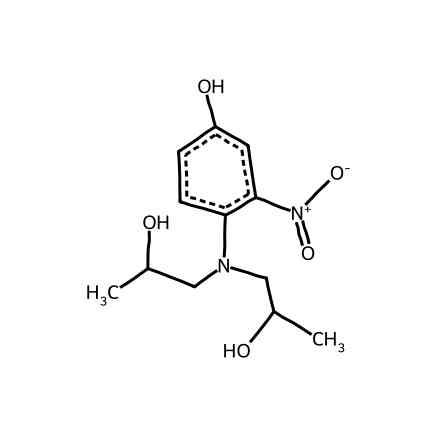 CC(O)CN(CC(C)O)c1ccc(O)cc1[N+](=O)[O-]